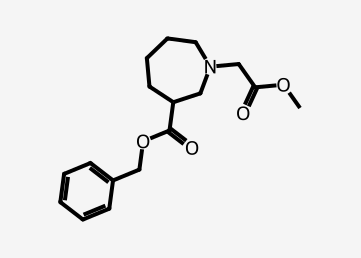 COC(=O)CN1CCCCC(C(=O)OCc2ccccc2)C1